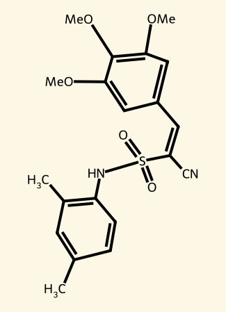 COc1cc(/C=C(/C#N)S(=O)(=O)Nc2ccc(C)cc2C)cc(OC)c1OC